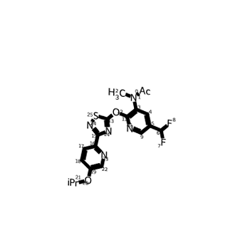 CC(=O)N(C)c1cc(C(F)F)cnc1Oc1nc(-c2ccc(OC(C)C)cn2)ns1